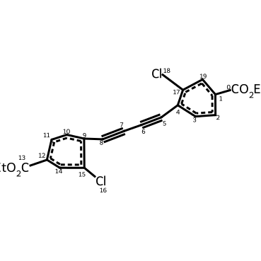 CCOC(=O)c1ccc(C#CC#Cc2ccc(C(=O)OCC)cc2Cl)c(Cl)c1